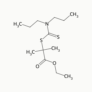 CCCN(CCC)C(=S)SC(C)(C)C(=O)OCC